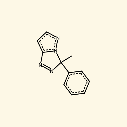 CC1(c2ccccc2)N=Nc2ccnn21